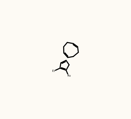 C1=CCCC=CCC1.CCC1=[C]([Ru])CC=C1